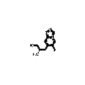 C[C@H](CO)Cc1cc2nncn2cc1F